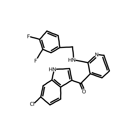 O=C(c1cccnc1NCc1ccc(F)c(F)c1)c1c[nH]c2cc(Cl)ccc12